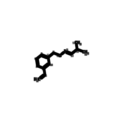 C=Cc1cccc(CON=CC(C)C)c1